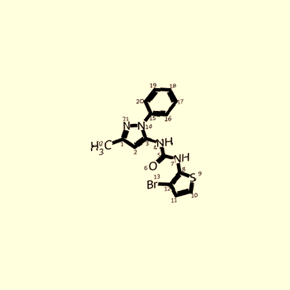 Cc1cc(NC(=O)Nc2sccc2Br)n(-c2ccccc2)n1